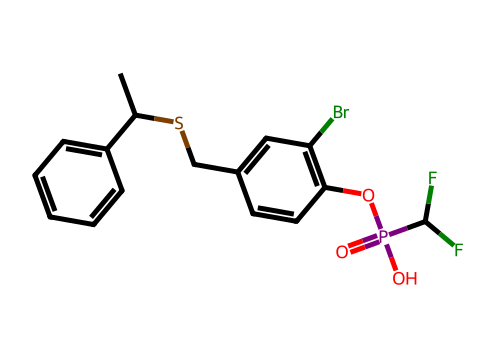 CC(SCc1ccc(OP(=O)(O)C(F)F)c(Br)c1)c1ccccc1